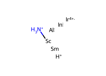 [Al].[H+].[In].[Ir+4].[NH3+][Sc].[Sm]